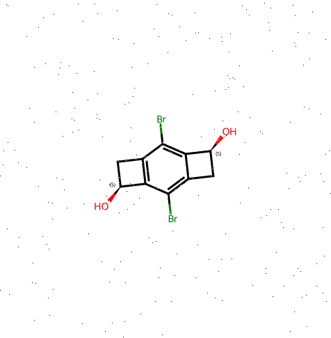 O[C@H]1Cc2c(Br)c3c(c(Br)c21)C[C@@H]3O